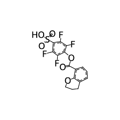 O=C(Oc1c(F)c(F)c(S(=O)(=O)O)c(F)c1F)c1cccc2c1OCCC2